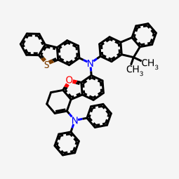 CC1(C)c2ccccc2-c2ccc(N(c3ccc4c(c3)sc3ccccc34)c3cccc4c5c(oc34)CCC=C5N(c3ccccc3)c3ccccc3)cc21